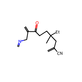 C=NCC(=C)C(=O)CCC(C)(CC)CC(=C)C#N